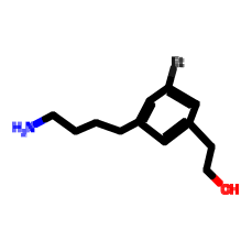 CCc1cc(CCO)cc(CCCCN)c1